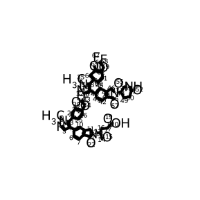 Cn1ncc(-c2ccc3c(c2)CN(C(C=O)CCC(=O)O)C3=O)c1-c1ccc2c(c1)OC(F)(F)O2.Cn1ncc(-c2ccc3c(c2)CN(C2CCC(=O)NC2=O)C3=O)c1-c1ccc2c(c1)OC(F)(F)O2